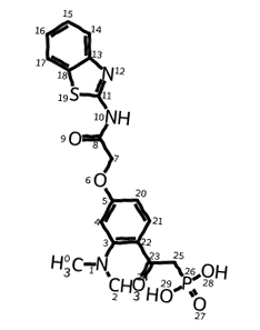 CN(C)c1cc(OCC(=O)Nc2nc3ccccc3s2)ccc1C(=O)CP(=O)(O)O